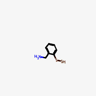 NCc1ccccc1SS